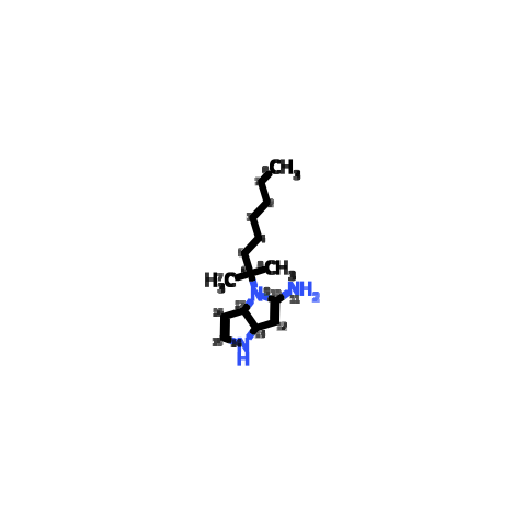 CCCCCCC(C)(C)N1C(N)=CC2NC=CC21